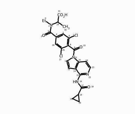 CCN(C(=O)c1cc(Cl)c(C(=O)n2ccc3c(NC(=O)C4CC4)nccc32)c(Cl)c1)C(C)C(=O)O